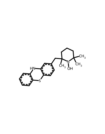 CC1(C)CCCC(C)(Cc2ccc3c(c2)Nc2ccccc2S3)N1O